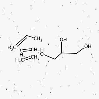 C=C.C=C.C=CC.OCC(O)CO